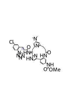 COC(=O)Nc1ccc2c(c1)NC(=O)CCc1cc(N(C)C)cc(n1)C[C@H](NC(=O)/C=C/c1cc(Cl)ccc1-n1cnnn1)c1nc-2c[nH]1